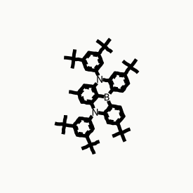 Cc1cc2c3c(c1)N(c1cc(C(C)(C)C)cc(C(C)(C)C)c1)c1cc(C(C)(C)C)ccc1B3c1ccc(C(C)(C)C)cc1N2c1cc(C(C)(C)C)cc(C(C)(C)C)c1